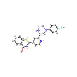 O=c1nc(-c2ccnc(C3CN(c4ccc(F)cc4)CCN3)c2)sc2ccccc12